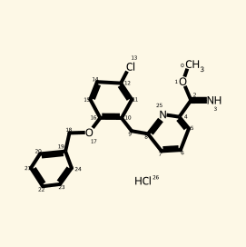 COC(=N)c1cccc(Cc2cc(Cl)ccc2OCc2ccccc2)n1.Cl